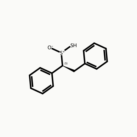 [O-][S+](S)[C@@H](Cc1ccccc1)c1ccccc1